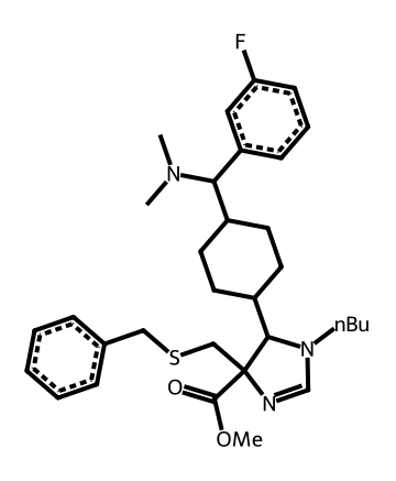 CCCCN1C=NC(CSCc2ccccc2)(C(=O)OC)C1C1CCC(C(c2cccc(F)c2)N(C)C)CC1